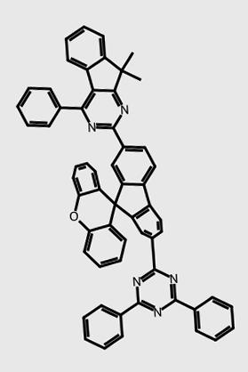 CC1(C)c2ccccc2-c2c(-c3ccccc3)nc(-c3ccc4c(c3)C3(c5ccccc5Oc5ccccc53)c3cc(-c5nc(-c6ccccc6)nc(-c6ccccc6)n5)ccc3-4)nc21